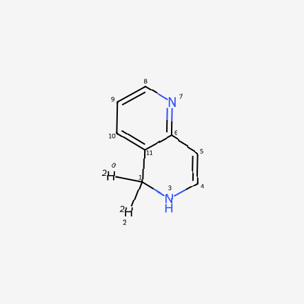 [2H]C1([2H])NC=Cc2ncccc21